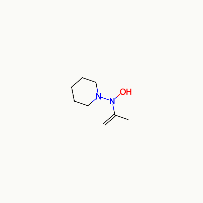 C=C(C)N(O)N1CCCCC1